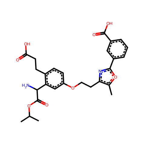 Cc1oc(-c2cccc(C(=O)O)c2)nc1CCOc1ccc(CCC(=O)O)c(C(N)C(=O)OC(C)C)c1